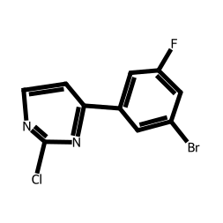 Fc1cc(Br)cc(-c2ccnc(Cl)n2)c1